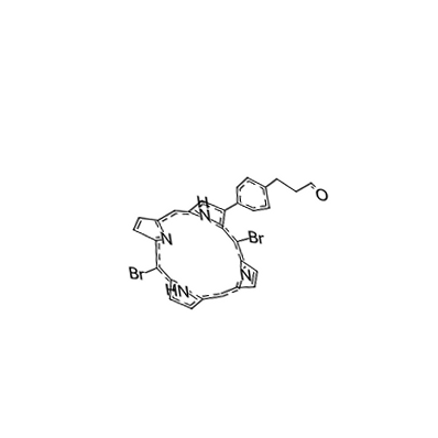 O=CCCc1ccc(-c2cc3cc4nc(c(Br)c5ccc(cc6nc(c(Br)c2[nH]3)C=C6)[nH]5)C=C4)cc1